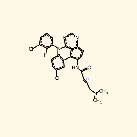 CN(C)C/C=C/C(=O)Nc1ccc2ncnc(Nc3cccc(Cl)c3F)c2c1-c1cccc(Cl)c1